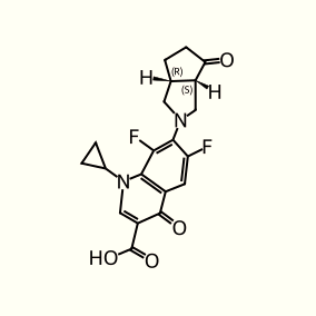 O=C(O)c1cn(C2CC2)c2c(F)c(N3C[C@@H]4CCC(=O)[C@@H]4C3)c(F)cc2c1=O